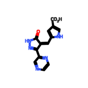 O=C1NN=C(c2cnccn2)C1=Cc1cc(C(=O)O)c[nH]1